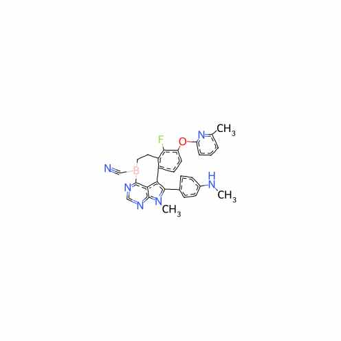 CNc1ccc(-c2c3c4c(ncnc4n2C)B(C#N)CCc2c-3ccc(Oc3cccc(C)n3)c2F)cc1